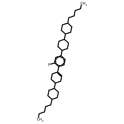 CCCCCC1CCC(C2CC=C(c3ccc(C4CCC(C5CCC(CCCCC)CC5)CC4)cc3F)CC2)CC1